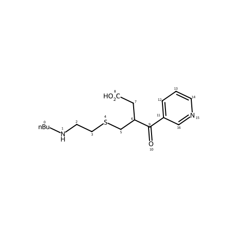 CCCCNCCSCC(CC(=O)O)C(=O)c1cccnc1